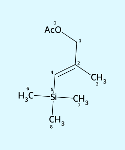 CC(=O)OCC(C)=C[Si](C)(C)C